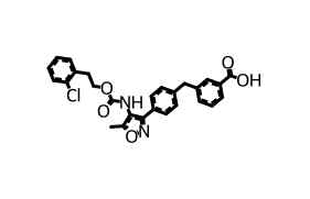 Cc1onc(-c2ccc(Cc3cccc(C(=O)O)c3)cc2)c1NC(=O)OCCc1ccccc1Cl